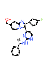 CC[C@H](Nc1nccc(-c2c(-c3ccc(F)cc3)nc3cc(CO)ccn23)n1)c1ccccc1